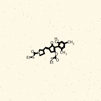 CCSC(=O)OC1=C(c2c(C)cc(C)cc2C)C(=O)/C(=C/C2CCN(C(=O)SCC)C2)C1